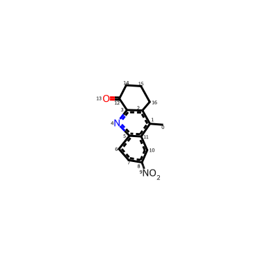 Cc1c2c(nc3ccc([N+](=O)[O-])cc13)C(=O)CCC2